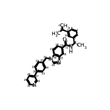 CC(C)c1cccc([C@H](C)NC(=O)c2ccc3c(c2)ncn3Cc2ccc(-c3cccnc3)cc2)c1